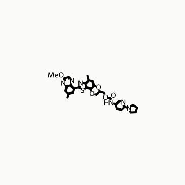 COc1cnc2c(-c3nc4c(C)cc5c(c4s3)OCC(COC(=O)Nc3ccc(N4CCCC4)nc3)O5)cc(C)cc2n1